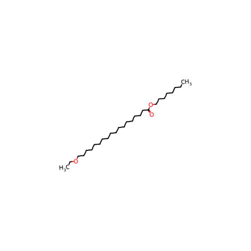 CCCCCCCCOC(=O)CCCCCCCCCCCCCCCCCOCC